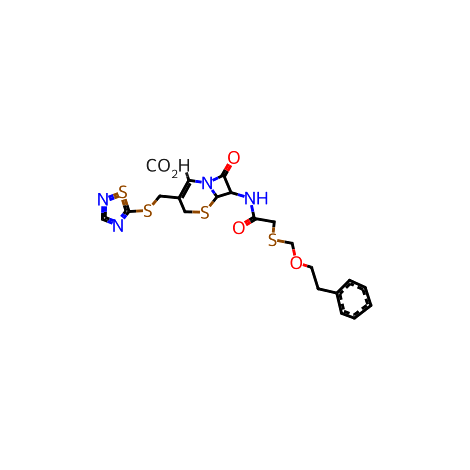 O=C(CSCOCCc1ccccc1)NC1C(=O)N2C(C(=O)O)=C(CSc3ncns3)CSC12